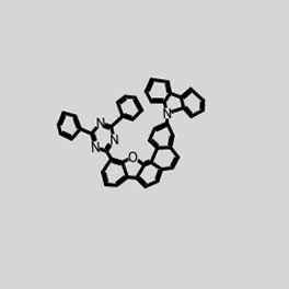 c1ccc(-c2nc(-c3ccccc3)nc(-c3cccc4c3oc3c4ccc4ccc5cc(-n6c7ccccc7c7ccccc76)ccc5c43)n2)cc1